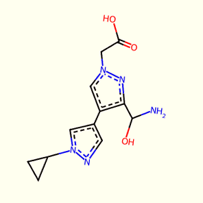 NC(O)c1nn(CC(=O)O)cc1-c1cnn(C2CC2)c1